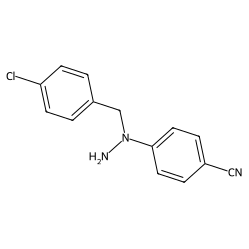 N#Cc1ccc(N(N)Cc2ccc(Cl)cc2)cc1